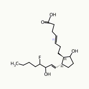 CCCCC(F)C(O)C=C[C@H]1CCC(O)[C@@H]1CC/C=C/CCC(=O)O